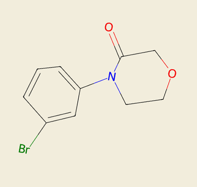 O=C1COCCN1c1cccc(Br)c1